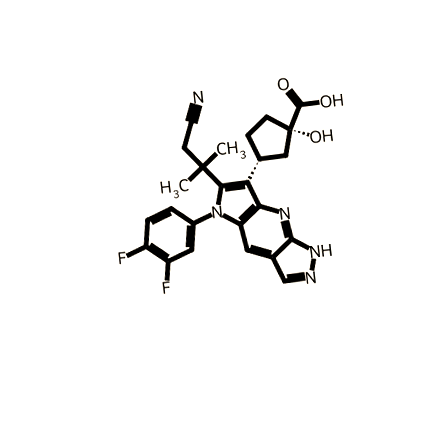 CC(C)(CC#N)c1c([C@@H]2CC[C@@](O)(C(=O)O)C2)c2nc3[nH]ncc3cc2n1-c1ccc(F)c(F)c1